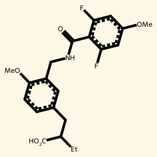 CCC(Cc1ccc(OC)c(CNC(=O)c2c(F)cc(OC)cc2F)c1)C(=O)O